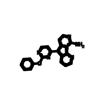 Nc1nccc2c(-c3ccnc(Oc4ccccc4)n3)c3cccnc3n12